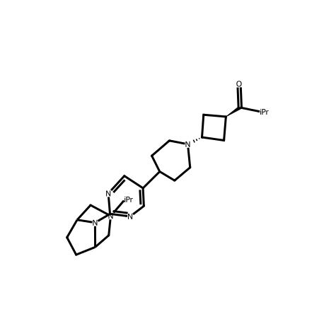 CC(C)C(=O)[C@H]1C[C@H](N2CCC(c3cnc(N4C5CCC4CN(C(C)C)C5)nc3)CC2)C1